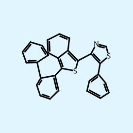 c1ccc(-c2ccccc2-c2sc(-c3ncsc3-c3ccccc3)c3ccccc23)cc1